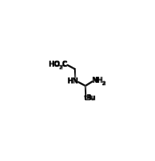 CC(C)(C)C(N)NCC(=O)O